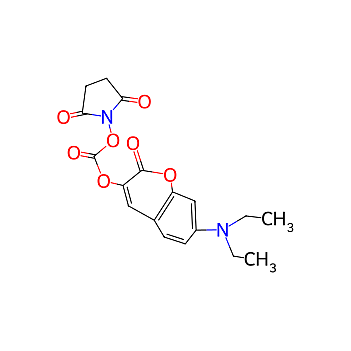 CCN(CC)c1ccc2cc(OC(=O)ON3C(=O)CCC3=O)c(=O)oc2c1